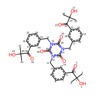 CC(C)(O)C(=O)c1cccc(Cn2c(=O)n(Cc3cccc(C(=O)C(C)(C)O)c3)c(=O)n(Cc3cccc(C(=O)C(C)(C)O)c3)c2=O)c1